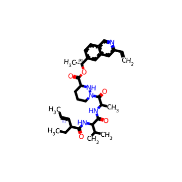 C=Cc1cc2cc([C@@H](C)OC(=O)C3CCCN(C(=O)C(C)NC(=O)C(NC(=O)C(/C=C/C)CC)C(C)C)N3)ccc2cn1